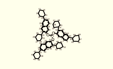 c1cc2cc(OP(Oc3cc4ccc(C5CCCCC5)cc4cc3C3CCCCC3)Oc3cc4ccc(C5CCCCC5)cc4cc3C3CCCCC3)c(C3CCCCC3)cc2cc1C1CCCCC1